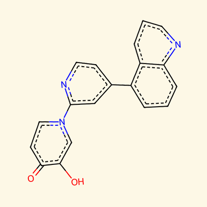 O=c1ccn(-c2cc(-c3cccc4ncccc34)ccn2)cc1O